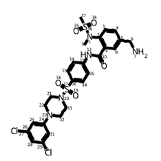 CN(c1ccc(CN)cc1C(=O)Nc1ccc(S(=O)(=O)N2CCN(c3cc(Cl)cc(Cl)c3)CC2)cc1)S(C)(=O)=O